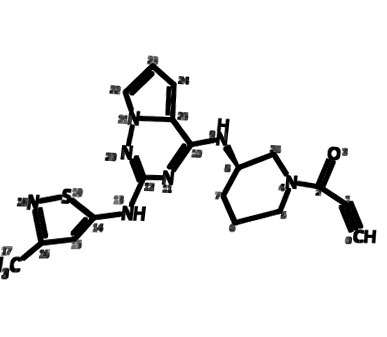 C#CC(=O)N1CCC[C@@H](Nc2nc(Nc3cc(C)ns3)nn3cccc23)C1